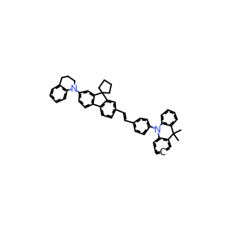 CC1(C)c2ccccc2N(c2ccc(/C=C/c3ccc4c(c3)C3(CCCC3)c3cc(N5CCCc6ccccc65)ccc3-4)cc2)c2ccccc21